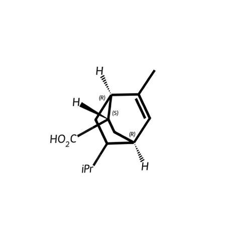 CC1=C[C@@H]2C[C@H](C(=O)O)[C@H]1CC2C(C)C